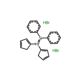 Br.Br.C1=CC[C]([Hf]([C]2=CC=CC2)=[Si](c2ccccc2)c2ccccc2)=C1